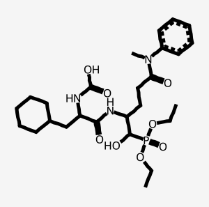 CCOP(=O)(OCC)C(O)C(CCC(=O)N(C)c1ccccc1)NC(=O)C(CC1CCCCC1)NC(=O)O